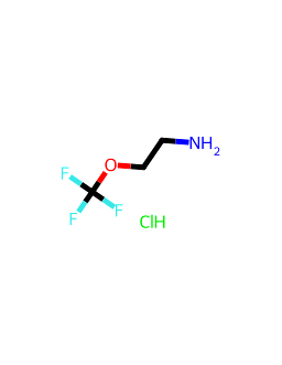 Cl.NCCOC(F)(F)F